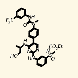 CCOC(=O)N=S(C)(=O)c1cccc(Nc2ncc(-c3ccc(N(C)C(=O)Nc4cccc(C(F)(F)F)c4)cc3)c(NC(C)CO)n2)c1